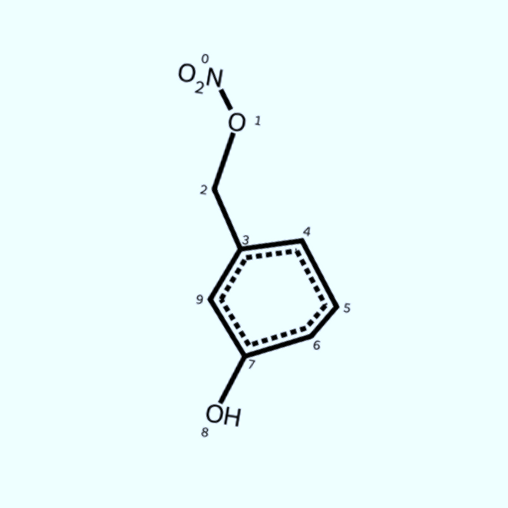 O=[N+]([O-])OCc1cccc(O)c1